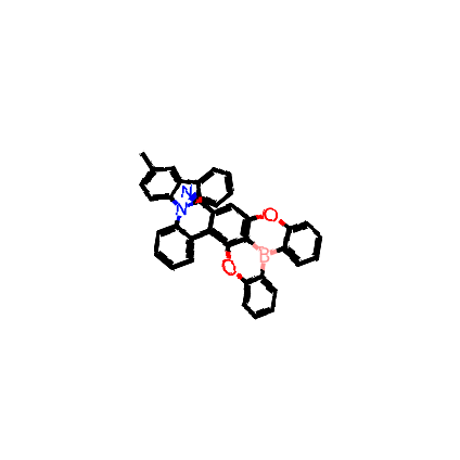 Cc1ccc2c(c1)c1ccccc1n2-c1ccccc1-c1c(C#N)cc2c3c1Oc1ccccc1B3c1ccccc1O2